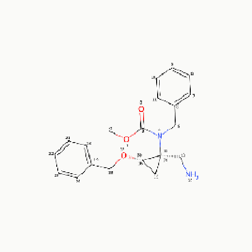 COC(=O)N(Cc1ccccc1)[C@@]1(CN)C[C@@H]1OCc1ccccc1